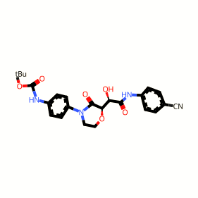 CC(C)(C)OC(=O)Nc1ccc(N2CCO[C@H]([C@@H](O)C(=O)Nc3ccc(C#N)cc3)C2=O)cc1